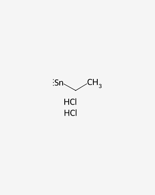 C[CH2][Sn].Cl.Cl